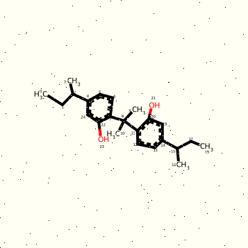 CCC(C)c1ccc(C(C)(C)c2ccc(C(C)CC)cc2O)c(O)c1